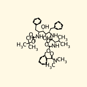 CC(C)[C@H](NC(=O)OCc1ccccc1C(=O)N(C)C)C(=O)N[C@H](Cc1ccccc1)[C@@H](O)[C@@H](O)C(Cc1ccccc1)NC(=O)OC(C)(C)C